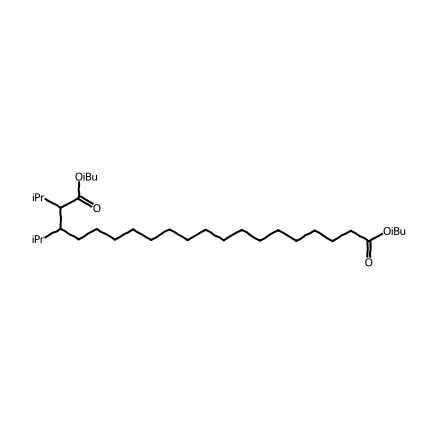 CC(C)COC(=O)CCCCCCCCCCCCCCCCC(C(C)C)C(C(=O)OCC(C)C)C(C)C